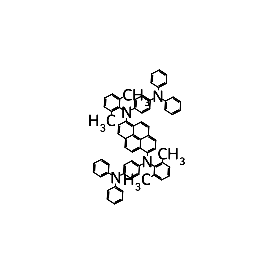 Cc1cccc(C)c1N(c1ccc(N(c2ccccc2)c2ccccc2)cc1)c1ccc2ccc3c(N(c4ccc(N(c5ccccc5)c5ccccc5)cc4)c4c(C)cccc4C)ccc4ccc1c2c43